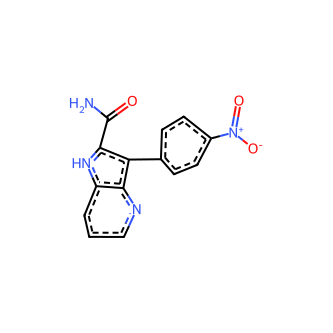 NC(=O)c1[nH]c2cccnc2c1-c1ccc([N+](=O)[O-])cc1